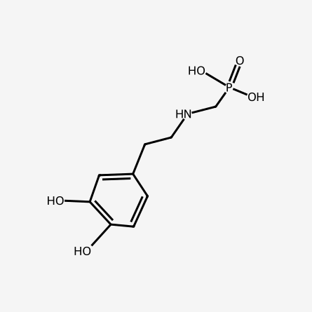 O=P(O)(O)CNCCc1ccc(O)c(O)c1